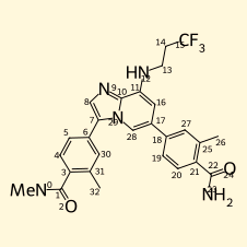 CNC(=O)c1ccc(-c2cnc3c(NCCC(F)(F)F)cc(-c4ccc(C(N)=O)c(C)c4)cn23)cc1C